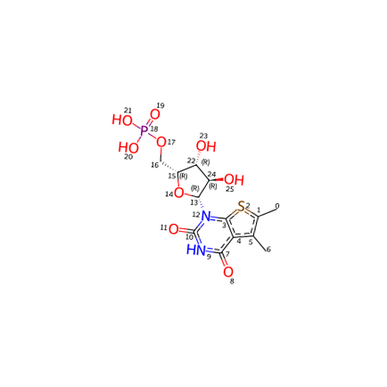 Cc1sc2c(c1C)c(=O)[nH]c(=O)n2[C@@H]1O[C@H](COP(=O)(O)O)[C@H](O)[C@H]1O